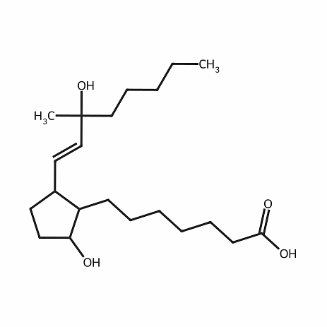 CCCCCC(C)(O)/C=C/C1CCC(O)C1CCCCCCC(=O)O